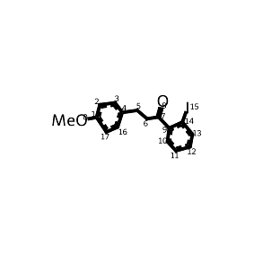 COc1ccc(CCC(=O)c2ccccc2I)cc1